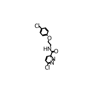 O=C(NCCOc1ccc(Cl)cc1)c1ccc(Cl)nn1